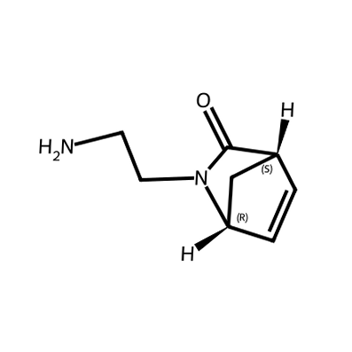 NCCN1C(=O)[C@@H]2C=C[C@H]1C2